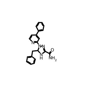 NC(=O)C1=NN(c2cc(-c3ccccc3)ccn2)C(Cc2ccccc2)N1